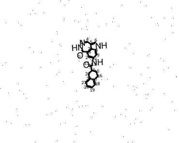 O=C1NN=Cc2c[nH]c3cc(NC(=O)C4CCc5ccccc5C4)cc1c23